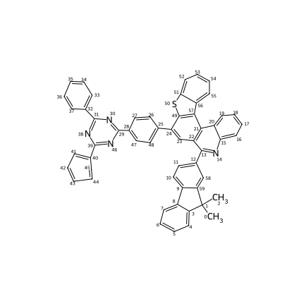 CC1(C)c2ccccc2-c2ccc(-c3nc4ccccc4c4c3cc(-c3ccc(-c5nc(-c6ccccc6)nc(-c6ccccc6)n5)cc3)c3sc5ccccc5c34)cc21